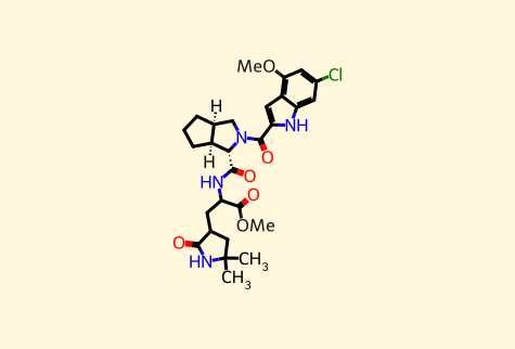 COC(=O)C(CC1CC(C)(C)NC1=O)NC(=O)[C@@H]1[C@H]2CCC[C@H]2CN1C(=O)c1cc2c(OC)cc(Cl)cc2[nH]1